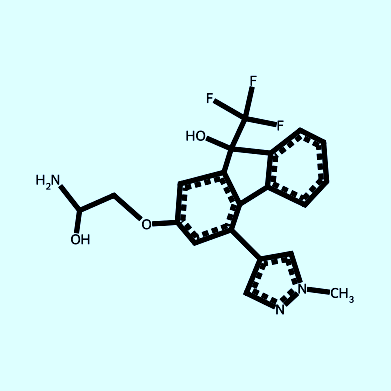 Cn1cc(-c2cc(OCC(N)O)cc3c2-c2ccccc2C3(O)C(F)(F)F)cn1